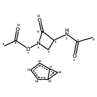 CC(=O)NC1CN(OC(C)=O)C1=O.c1cc2cc-2c1